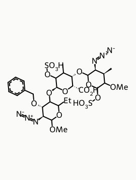 CCC1OC(OC)[C@@H](N=[N+]=[N-])[C@H](OCc2ccccc2)C1O[C@@H]1O[C@@H](C(=O)O)[C@@H](OC2OC(OS(=O)(=O)O)C(OC)[C@H](C)[C@@H]2N=[N+]=[N-])C(C)C1OS(=O)(=O)O